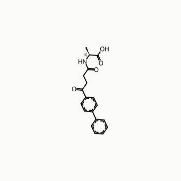 C[C@H](NC(=O)CCC(=O)c1ccc(-c2ccccc2)cc1)C(=O)O